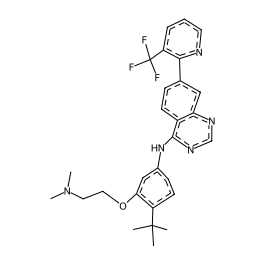 CN(C)CCOc1cc(Nc2ncnc3cc(-c4ncccc4C(F)(F)F)ccc23)ccc1C(C)(C)C